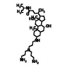 CC(C)NC(=O)CC[C@@H](C)[C@H]1CCC2C3C(C[C@H](O)[C@@]21C)[C@@]1(C)CC[C@H](NCCCN(CCCN)CCCN)CC1C[C@H]3O